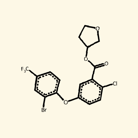 O=C(OC1CCOC1)c1cc(Oc2ccc(C(F)(F)F)cc2Br)ccc1Cl